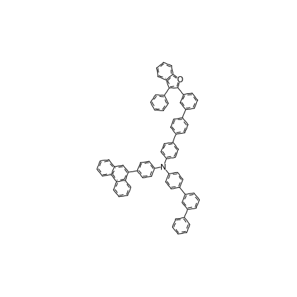 c1ccc(-c2cccc(-c3ccc(N(c4ccc(-c5ccc(-c6cccc(-c7oc8ccccc8c7-c7ccccc7)c6)cc5)cc4)c4ccc(-c5cc6ccccc6c6ccccc56)cc4)cc3)c2)cc1